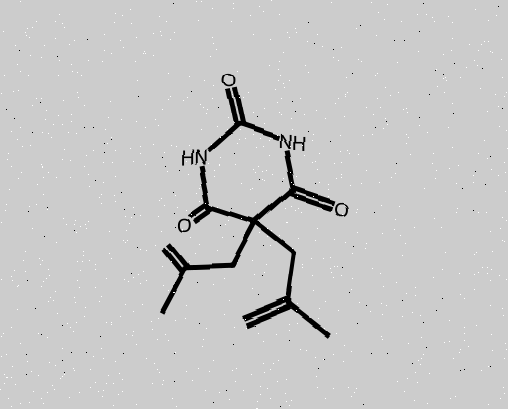 C=C(C)CC1(CC(=C)C)C(=O)NC(=O)NC1=O